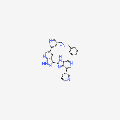 c1ccc(CNCc2cncc(-c3cnc4[nH]nc(-c5nc6c(-c7cccnc7)cncc6[nH]5)c4c3)c2)cc1